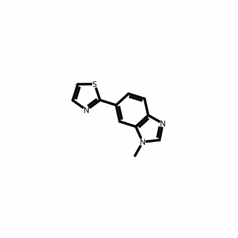 Cn1cnc2ccc(-c3nc[c]s3)cc21